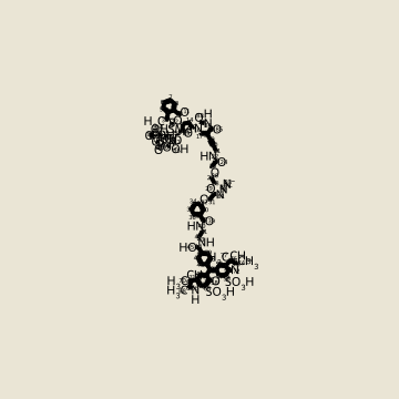 CSSC(C)c1ccccc1C(=O)OC1C[C@H](n2cc(C#CCNC(=O)COCCOC(COc3cccc(C(=O)NCCNC(O)c4ccc(C5=c6cc7c(c(S(=O)(=O)O)c6Oc6c5cc5c(c6S(=O)(=O)O)NC(C)C5(C)C)=NC(C)C7(C)C)cc4)c3)N=[N+]=[N-])c(=O)[nH]c2=O)O[C@@H]1COP(=O)(O)OP(=O)(O)OP(=O)(O)O